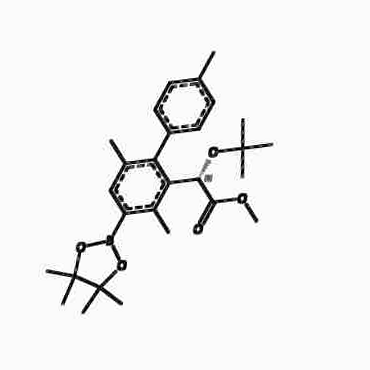 COC(=O)[C@@H](OC(C)(C)C)c1c(C)c(B2OC(C)(C)C(C)(C)O2)cc(C)c1-c1ccc(C)cc1